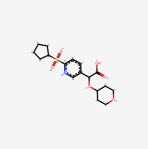 O=C(O)C(OC1CCOCC1)c1ccc(S(=O)(=O)C2CCCC2)nc1